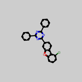 Clc1cccc2oc3cc(-c4nc(-c5ccccc5)nc(-c5ccccc5)n4)ccc3c12